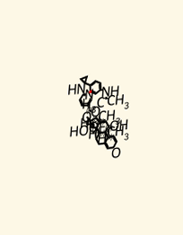 CC(C)Nc1ccc(C2(Nc3ccc([C@@H]4O[C@@H]5C[C@H]6[C@@H]7CCC8=CC(=O)C=C[C@]8(C)[C@@]7(F)[C@@H](O)C[C@]6(C)[C@]5(C(=O)CO)O4)cn3)CC2)cc1